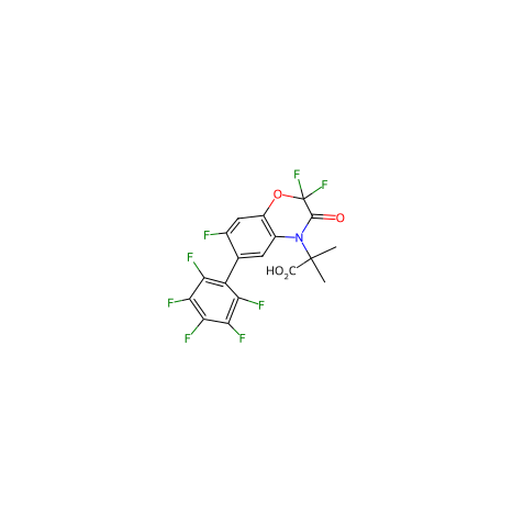 CC(C)(C(=O)O)N1C(=O)C(F)(F)Oc2cc(F)c(-c3c(F)c(F)c(F)c(F)c3F)cc21